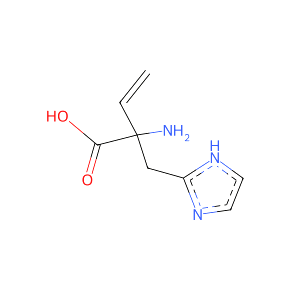 C=CC(N)(Cc1ncc[nH]1)C(=O)O